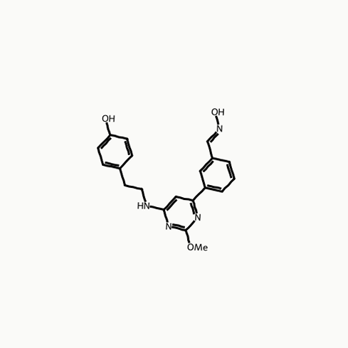 COc1nc(NCCc2ccc(O)cc2)cc(-c2cccc(/C=N/O)c2)n1